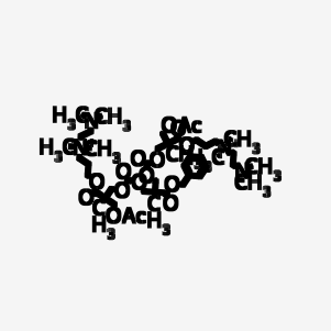 CC(=O)OCC(C)(COC(=O)OCC(C)(COC(=O)OCC(C)(COC(C)=O)C(=O)OCCC[N+](C)(C)CCN(C)C)C(=O)OCc1ccccc1)C(=O)OCCC[N+](C)(C)CCN(C)C